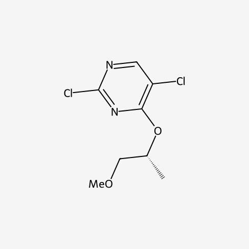 COC[C@@H](C)Oc1nc(Cl)ncc1Cl